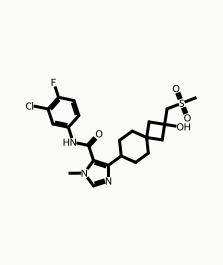 Cn1cnc(C2CCC3(CC2)CC(O)(CS(C)(=O)=O)C3)c1C(=O)Nc1ccc(F)c(Cl)c1